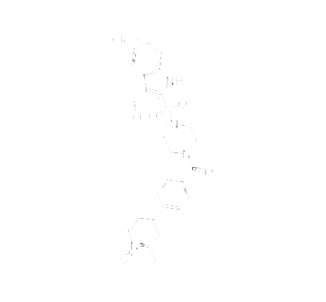 COCc1c(S(=O)(=O)N2CCN(C(=O)c3ccc(-c4cc[n+]([O-])c(C)c4)cc3)CC2)[nH]c2ccc(Cl)cc12